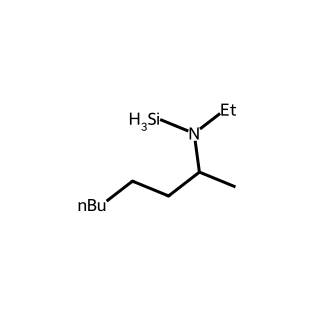 CCCCCCC(C)N([SiH3])CC